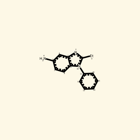 CCc1nc2cc(N)ccc2n1-c1cc[c]cc1